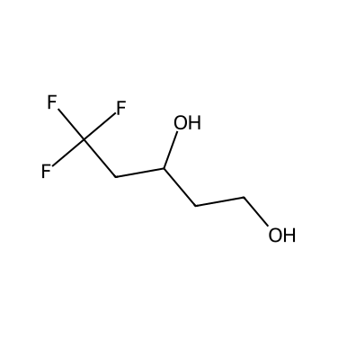 OCCC(O)CC(F)(F)F